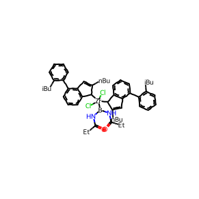 CCCCC1=Cc2c(-c3ccccc3C(C)CC)cccc2[CH]1[Zr]([Cl])([Cl])([B](NC(=O)CC)NC(=O)CC)[CH]1C(CCCC)=Cc2c(-c3ccccc3C(C)CC)cccc21